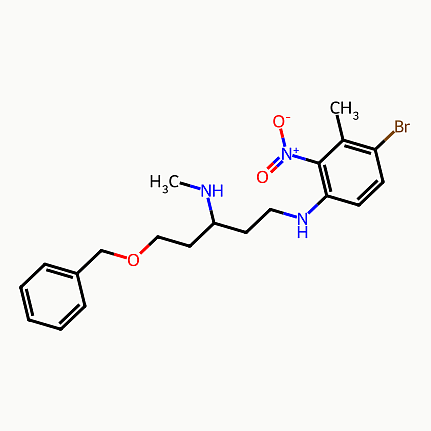 CNC(CCNc1ccc(Br)c(C)c1[N+](=O)[O-])CCOCc1ccccc1